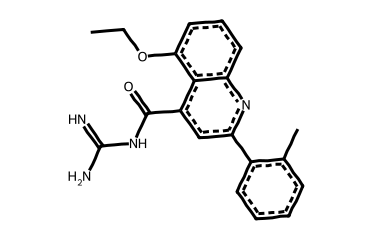 CCOc1cccc2nc(-c3ccccc3C)cc(C(=O)NC(=N)N)c12